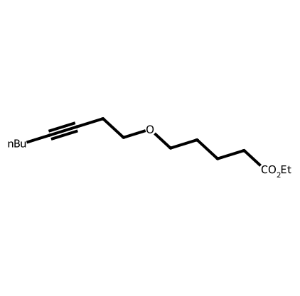 CCCCC#CCCOCCCCC(=O)OCC